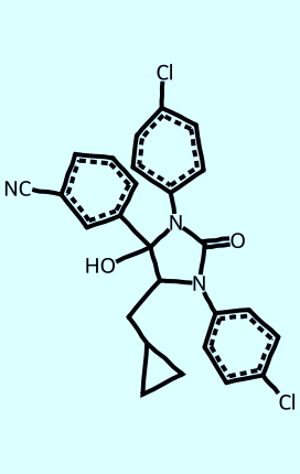 N#Cc1cccc(C2(O)C(CC3CC3)N(c3ccc(Cl)cc3)C(=O)N2c2ccc(Cl)cc2)c1